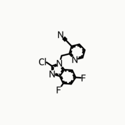 N#Cc1cccnc1Cn1c(Cl)nc2c(F)cc(F)cc21